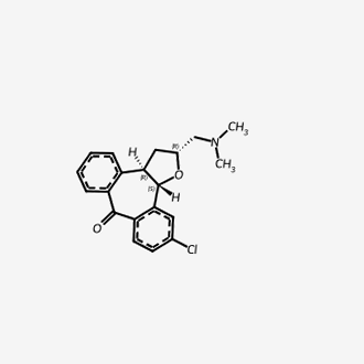 CN(C)C[C@H]1C[C@@H]2c3ccccc3C(=O)c3ccc(Cl)cc3[C@H]2O1